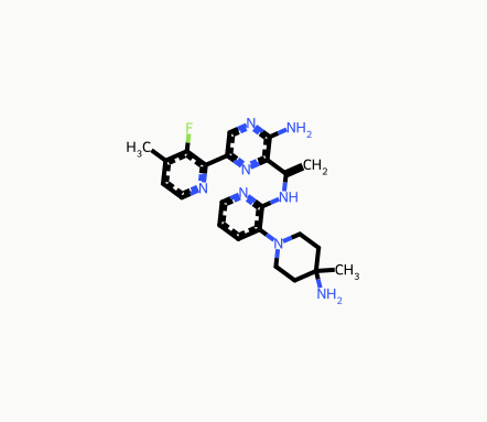 C=C(Nc1ncccc1N1CCC(C)(N)CC1)c1nc(-c2nccc(C)c2F)cnc1N